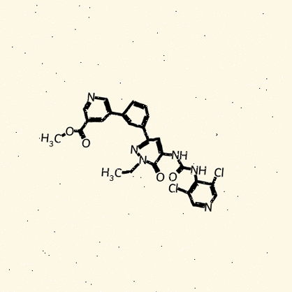 CCn1nc(-c2cccc(-c3cncc(C(=O)OC)c3)c2)cc(NC(=O)Nc2c(Cl)cncc2Cl)c1=O